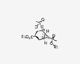 CCOC(=O)C1=C[C@H]2[C@@H]([C@@H](OS(C)(=O)=O)C1)N2P(C)(=O)OCC